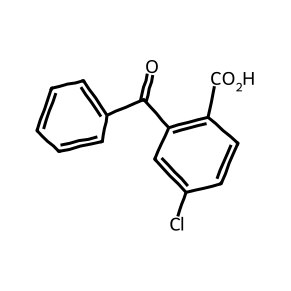 O=C(O)c1ccc(Cl)cc1C(=O)c1ccccc1